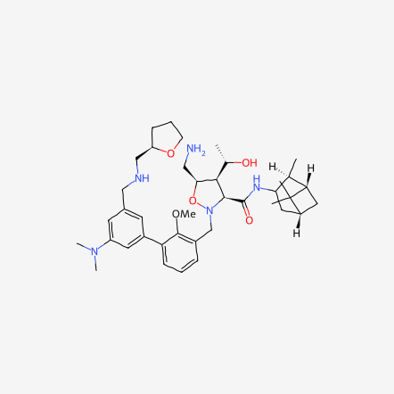 COc1c(CN2O[C@@H](CN)[C@@H]([C@H](C)O)[C@H]2C(=O)NC2C[C@H]3C[C@@H]([C@@H]2C)C3(C)C)cccc1-c1cc(CNC[C@H]2CCCO2)cc(N(C)C)c1